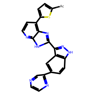 CC(=O)c1ccc(-c2ccnc3[nH]c(-c4n[nH]c5ccc(-c6cnccn6)cc45)nc23)s1